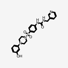 O=C(NCc1cccnc1)Nc1ccc(S(=O)(=O)N2CCN(c3cccc(O)c3)CC2)cc1